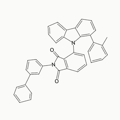 Cc1ccccc1-c1cccc2c3ccccc3n(-c3cccc4c3C(=O)N(c3cccc(-c5ccccc5)c3)C4=O)c12